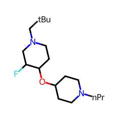 CCCN1CCC(OC2CCN(CC(C)(C)C)CC2F)CC1